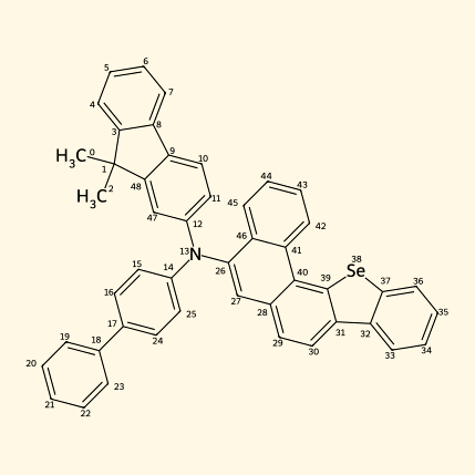 CC1(C)c2ccccc2-c2ccc(N(c3ccc(-c4ccccc4)cc3)c3cc4ccc5c6ccccc6[se]c5c4c4ccccc34)cc21